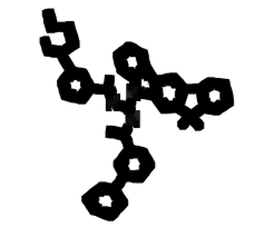 C=C/C=C\C(=C/C)c1cccc(/C(C)=N/C(=N\C(=C)c2cccc(-c3ccccc3)c2)n2c3ccccc3c3cc4c(cc32)C(C)(C)c2ccccc2-4)c1